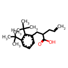 C=CCC(Cc1cccc(C(C)(C)C)c1C(C)(C)C)C(=O)O